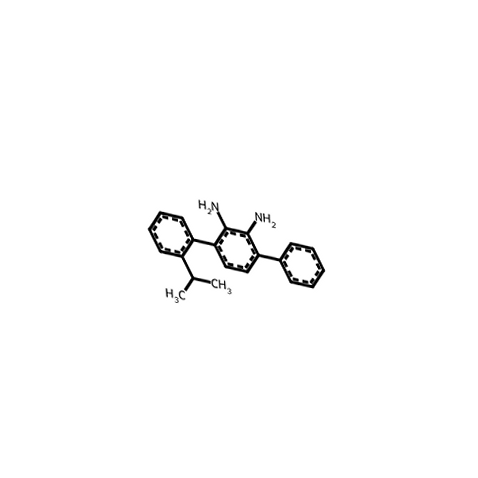 CC(C)c1ccccc1-c1ccc(-c2ccccc2)c(N)c1N